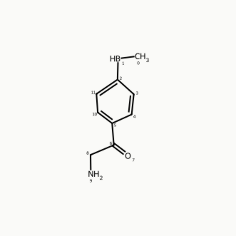 CBc1ccc(C(=O)CN)cc1